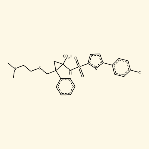 CN(C)CCSCC1(c2ccccc2)CC1(NS(=O)(=O)c1ccc(-c2ccc(Cl)cc2)s1)C(=O)O